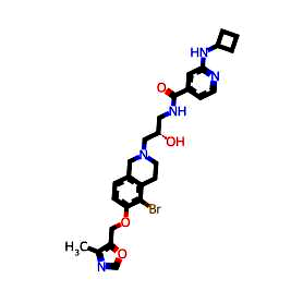 Cc1ncoc1COc1ccc2c(c1Br)CCN(C[C@@H](O)CNC(=O)c1ccnc(NC3CCC3)c1)C2